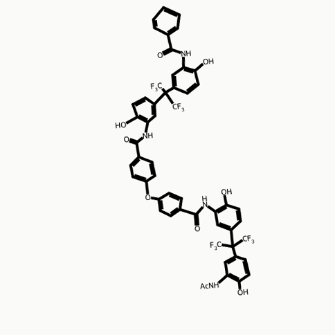 CC(=O)Nc1cc(C(c2ccc(O)c(NC(=O)c3ccc(Oc4ccc(C(=O)Nc5cc(C(c6ccc(O)c(NC(=O)c7ccccc7)c6)(C(F)(F)F)C(F)(F)F)ccc5O)cc4)cc3)c2)(C(F)(F)F)C(F)(F)F)ccc1O